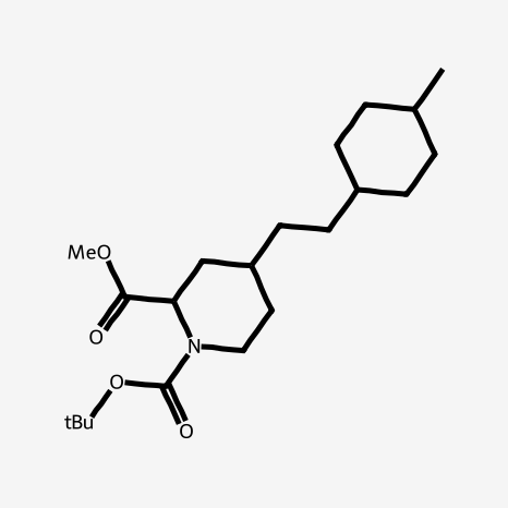 COC(=O)C1CC(CCC2CCC(C)CC2)CCN1C(=O)OC(C)(C)C